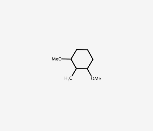 COC1CCCC(OC)[C]1C